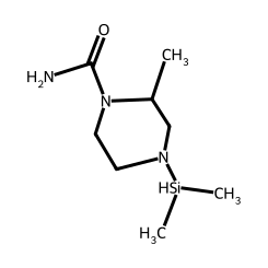 CC1CN([SiH](C)C)CCN1C(N)=O